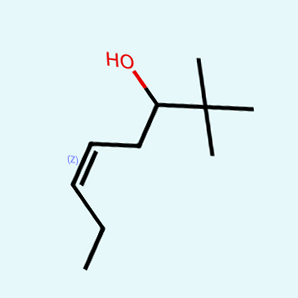 CC/C=C\CC(O)C(C)(C)C